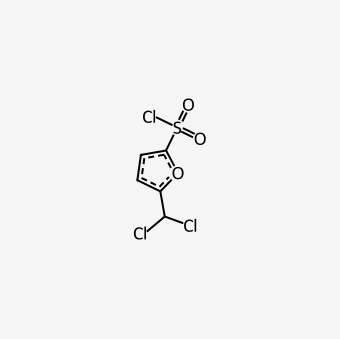 O=S(=O)(Cl)c1ccc(C(Cl)Cl)o1